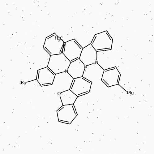 Cc1cc2c3c(c1)N(c1ccc(C(C)(C)C)cc1-c1ccccc1)c1c(ccc4c1oc1ccccc14)B3N(c1ccc(C(C)(C)C)cc1)c1ccccc1-2